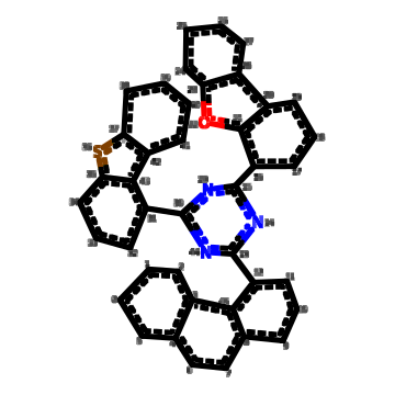 c1ccc2c(c1)ccc1cccc(-c3nc(-c4cccc5c4oc4ccccc45)nc(-c4cccc5sc6ccccc6c45)n3)c12